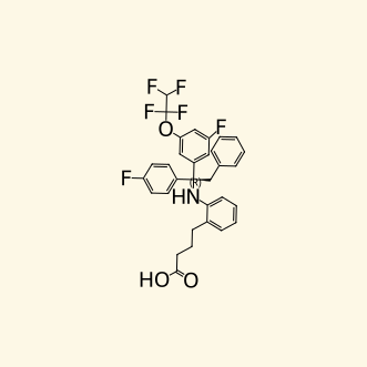 O=C(O)CCCc1ccccc1N[C@](Cc1ccccc1)(c1ccc(F)cc1)c1cc(F)cc(OC(F)(F)C(F)F)c1